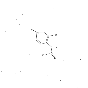 O=C(Cl)Cc1ccc(Cl)cc1Br